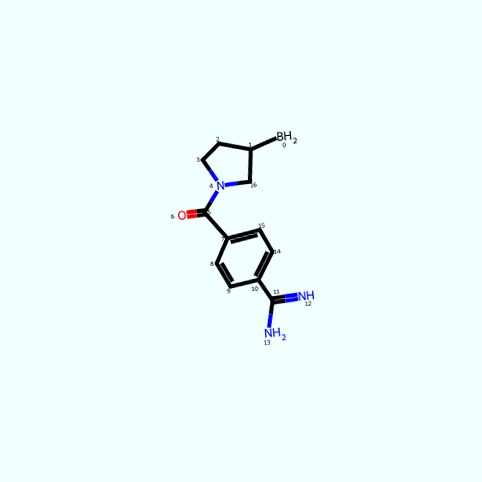 BC1CCN(C(=O)c2ccc(C(=N)N)cc2)C1